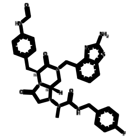 CN(C(=O)NCc1ccc(F)cc1)N1CC(=O)N2[C@@H](Cc3ccc(NC=O)cc3)C(=O)N(Cc3cccc4sc(N)nc34)C[C@@H]21